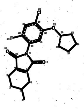 CC1CCC2=C(C1)C(=O)N(c1cc(OC3CCCC3)c(Cl)cc1F)C2=O